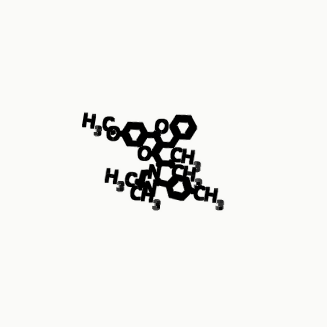 COc1ccc2c(=O)c(Cc3ccccc3)c(C(C(C)C)N3CC(C)(C)N=C3c3ccc(C)cc3)oc2c1